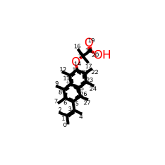 CC(C)=C(C)c1c(C)c(C)c2c(C)c(OC(C)(C)C(=O)O)c(C)c(C)c2c1C